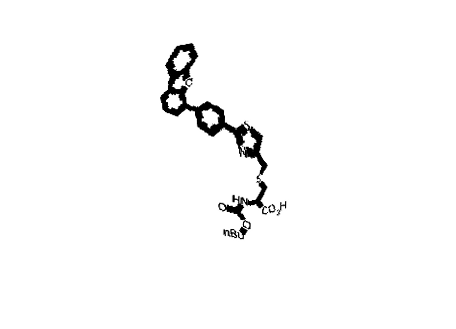 CCCCOC(=O)NC(CSCc1csc(-c2ccc(-c3cccc4c3oc3ccccc34)cc2)n1)C(=O)O